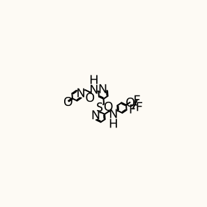 O=C(Cn1ccc(=O)cc1)Nc1cc(CSc2ncccc2C(=O)Nc2ccc(OC(F)(F)F)cc2)ccn1